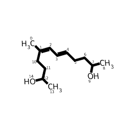 CC(=CC=CCCC(C)O)CCC(C)O